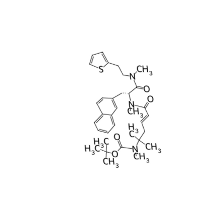 CN(CCc1cccs1)C(=O)[C@@H](Cc1ccc2ccccc2c1)N(C)C(=O)/C=C/CC(C)(C)N(C)C(=O)OC(C)(C)C